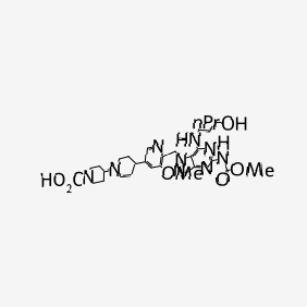 CCCC(CCO)Nc1nc(NC(=O)OC)nc2cnn(Cc3ncc(C4CCN(C5CCN(C(=O)O)CC5)CC4)cc3OC)c12